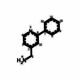 NCc1ccnc(-c2cc[c]cc2)c1